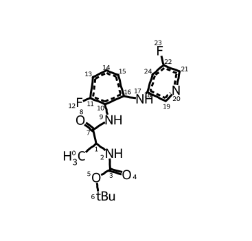 CC(NC(=O)OC(C)(C)C)C(=O)Nc1c(F)cccc1Nc1cncc(F)c1